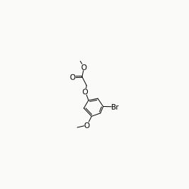 COC(=O)COc1cc(Br)cc(OC)c1